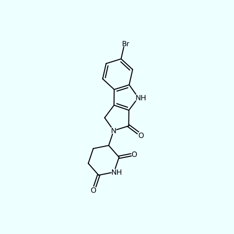 O=C1CCC(N2Cc3c([nH]c4cc(Br)ccc34)C2=O)C(=O)N1